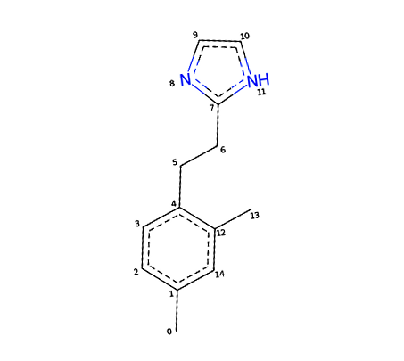 Cc1ccc(CCc2ncc[nH]2)c(C)c1